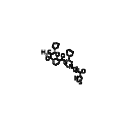 Cc1c(-c2ccccc2)oc2c(C(=O)N3CCN(C4CN(C(=O)c5cscn5)C4)CC3c3ccccc3)cccc2c1=O